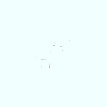 C1CCC1.O=C(O)C1CCCO1.O=CO